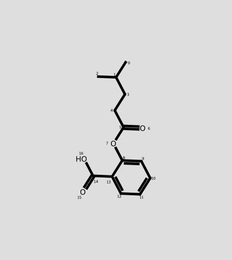 CC(C)CCC(=O)Oc1ccccc1C(=O)O